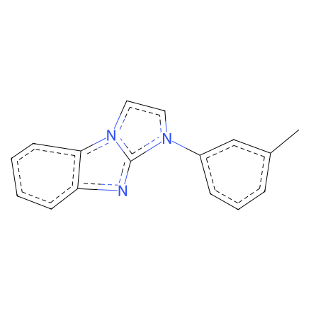 Cc1cccc(-n2ccn3c4ccccc4nc23)c1